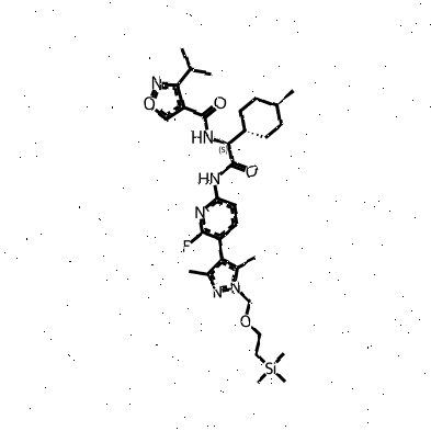 Cc1nn(COCC[Si](C)(C)C)c(C)c1-c1ccc(NC(=O)[C@@H](NC(=O)c2conc2C(C)C)[C@H]2CC[C@H](C)CC2)nc1F